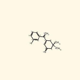 C=C(C1=CC(=O)CC(C)(C)C1)c1cccc(F)c1